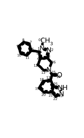 Cn1nc2c(c1-c1ccccc1)CCN(C(=O)c1cccc3cn[nH]c13)C2